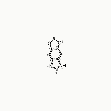 c1c2c(cc3[nH]nnc13)OCO2